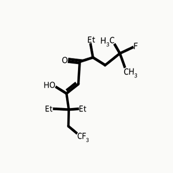 CCC(CC(C)(C)F)C(=O)/C=C(\O)C(CC)(CC)CC(F)(F)F